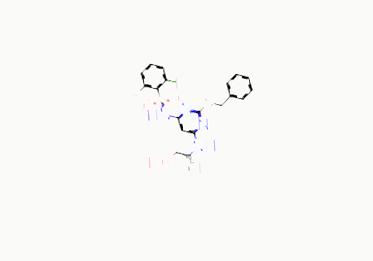 C[C@H](CO)Nc1cc(NS(=O)(=O)c2c(F)cccc2F)nc(SCc2ccccc2)n1